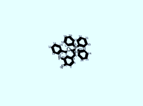 Fc1ccc(CC(OCc2ccccc2)[PH](c2ccccc2)(c2ccccc2)c2ccccc2)cc1F